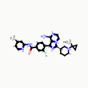 Nc1nccn2c([C@@H]3CCCN(C4(C(=O)O)CC4)C3)nc(-c3ccc(C(=O)Nc4cc(C(F)(F)F)ccn4)cc3F)c12